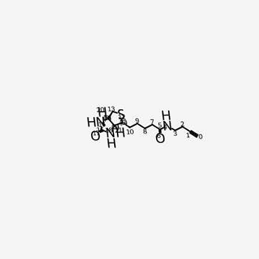 C#CCCNC(=O)CCCC[C@@H]1SC[C@@H]2NC(=O)N[C@@H]21